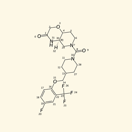 O=C1COC2CCN(C(=O)N3CCC(COc4ccc(F)cc4C(F)(F)F)CC3)C[C@H]2N1